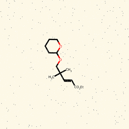 CCOC(=O)/C=C/C(C)(C)COC1CCCCO1